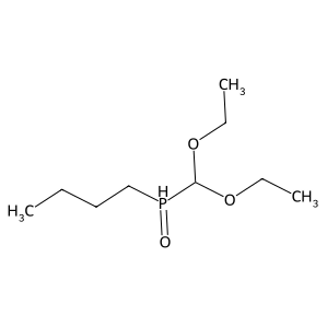 CCCC[PH](=O)C(OCC)OCC